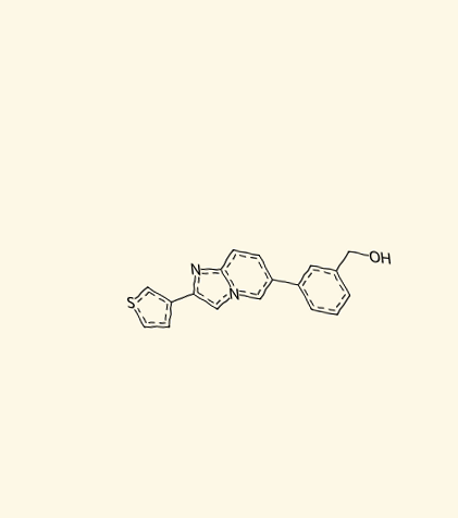 OCc1cccc(-c2ccc3nc(-c4ccsc4)cn3c2)c1